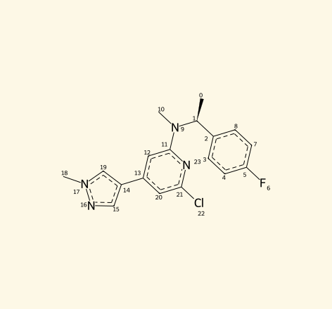 C[C@@H](c1ccc(F)cc1)N(C)c1cc(-c2cnn(C)c2)cc(Cl)n1